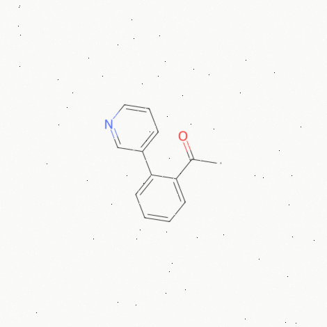 [CH2]C(=O)c1ccccc1-c1cccnc1